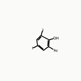 CC(=O)c1cc(I)cc(I)c1O